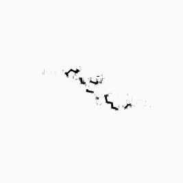 CCCCCCCC(CCCCCCC)CC(=O)OCCN(CCOC(=O)OC(CCCCCC)CCCC(=O)OCC(CCCCCC)CCCCCC)CCN(CC)CC